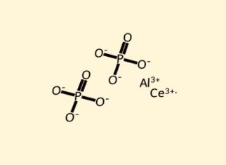 O=P([O-])([O-])[O-].O=P([O-])([O-])[O-].[Al+3].[Ce+3]